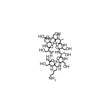 CNC(CO)C(=O)N[C@@H](CC(=O)O)C(=O)NC(CO)C(=O)N[C@@H](C)C(=O)NC(CO)C(=O)N[C@@H](CO)C(=O)NC(CO)C(=O)N[C@@H](CCCCN)C(=O)NC(CO)C(N)=O